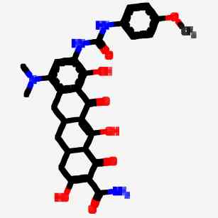 CN(C)c1cc(NC(=O)Nc2ccc(OC(F)(F)F)cc2)c(O)c2c1CC1CC3CC(O)=C(C(N)=O)C(=O)C3C(O)=C1C2=O